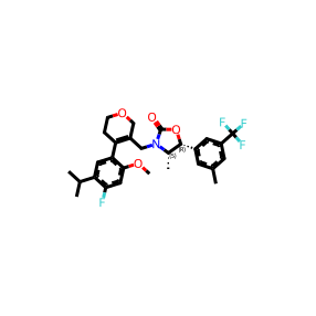 COc1cc(F)c(C(C)C)cc1C1=C(CN2C(=O)O[C@H](c3cc(C)cc(C(F)(F)F)c3)[C@@H]2C)COCC1